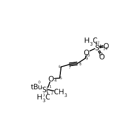 CC(C)(C)[Si](C)(C)OCCC#CCOS(C)(=O)=O